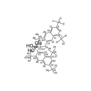 CC(C)(C)c1cc(C(C)(C)C)c2cc(CC(C)(C)P(O)(O)(O)c3cc4c(C(C)(C)C)cc(C(C)(C)C)cc4cc3C(C)(C)C)c(C(C)(C)C)cc2c1